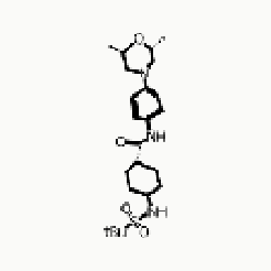 C[C@@H]1CN(c2ccc(NC(=O)[C@H]3CC[C@H](NS(=O)(=O)C(C)(C)C)CC3)cc2)C[C@@H](C)O1